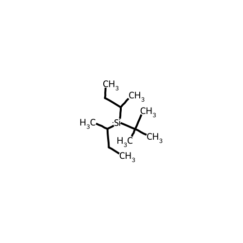 CCC(C)[Si](C(C)CC)C(C)(C)C